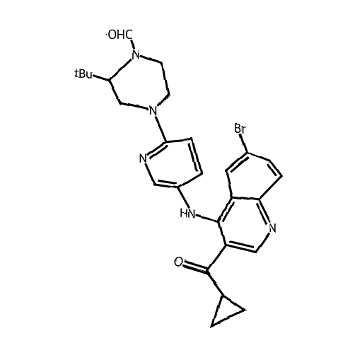 CC(C)(C)C1CN(c2ccc(Nc3c(C(=O)C4CC4)cnc4ccc(Br)cc34)cn2)CCN1[C]=O